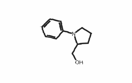 OCC1CCCN1c1cc[c]cc1